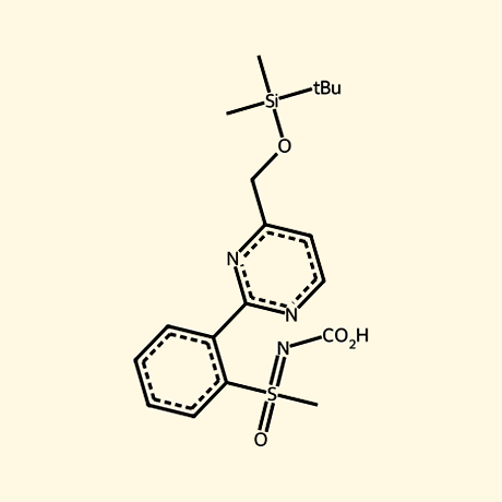 CC(C)(C)[Si](C)(C)OCc1ccnc(-c2ccccc2S(C)(=O)=NC(=O)O)n1